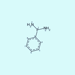 NP(N)c1ccccc1